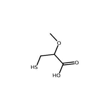 COC(CS)C(=O)O